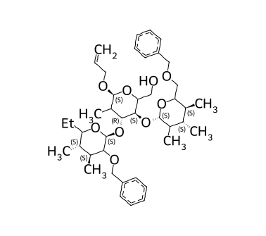 C=CCO[C@H]1OC(CO)[C@@H](O[C@@H]2OC(COCc3ccccc3)[C@@H](C)[C@H](C)C2C)[C@H](O[C@@H]2OC(CC)[C@@H](C)[C@H](C)C2OCc2ccccc2)C1C